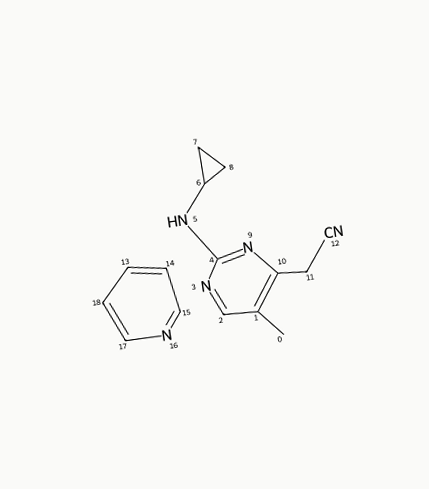 Cc1cnc(NC2CC2)nc1CC#N.c1ccncc1